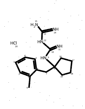 Cc1ccccc1CC1(NC(=N)NC(=N)N)CCCC1.Cl